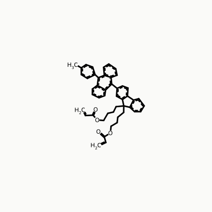 C=CC(=O)OCCCCC1(CCCCOC(=O)C=C)c2ccccc2-c2ccc(-c3c4ccccc4c(-c4ccc(C)cc4)c4ccccc34)cc21